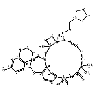 CC1(C)OCC=C[C@@H](OCCN2CCCC2)[C@@H]2CC[C@H]2CN2C[C@@]3(CCCc4cc(Cl)ccc43)COc3ccc(cc32)S(=O)(=O)NC1=O